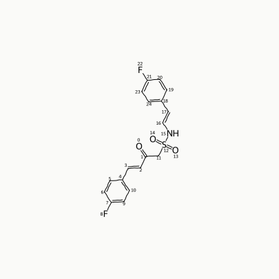 O=C(C=Cc1ccc(F)cc1)CS(=O)(=O)NC=Cc1ccc(F)cc1